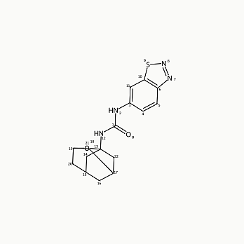 O=C(Nc1ccc2nnsc2c1)NC12CC3CC(CC(C3)O1)C2